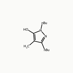 CCCCc1nn(CCCC)c(O)c1C